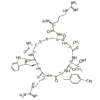 CC(=O)N[C@@H](CCCNC(=N)N)C(=O)N[C@H]1CSSC[C@@H](C(N)=O)NC(=O)[C@H](Cc2c[nH]c3ccccc23)NC(=O)[C@H](CCCNC(=N)N)NC(=O)[C@@H](Cc2ccc(C#N)cc2)NC(=O)[C@H]([C@@H](C)O)NC(=O)[C@@H](C)NC1=O